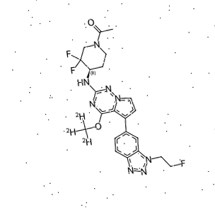 [2H]C([2H])([2H])Oc1nc(N[C@@H]2CCN(C(C)=O)CC2(F)F)nn2ccc(-c3ccc4nnn(CCF)c4c3)c12